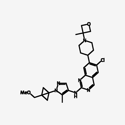 COCC12CC1(n1ncc(Nc3ncc4cc(Cl)c(C5CCN(C6(C)COC6)CC5)cc4n3)c1C)C2